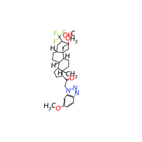 COCC[C@]12CC[C@](O)(C(F)(F)F)C[C@H]1CC[C@H]1[C@@H]3CC[C@H](C(=O)Cn4nnc5ccc(OC)cc54)[C@@]3(C)CC[C@@H]12